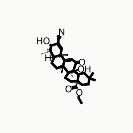 CCOC(=O)[C@]12CCC(C)(C)CC1[C@@]1(O)C(=O)C=C3[C@@]4(C)C=C(C#N)C(O)[C@@H](C)[C@@H]4CC[C@@]3(C)[C@]1(C)CC2